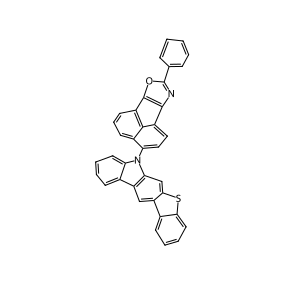 c1ccc(-c2nc3c(o2)-c2cccc4c(-n5c6ccccc6c6cc7c(cc65)sc5ccccc57)ccc-3c24)cc1